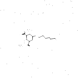 COC(=O)C1CC(OCCCCCCCl)CC(C(=O)OC)C1